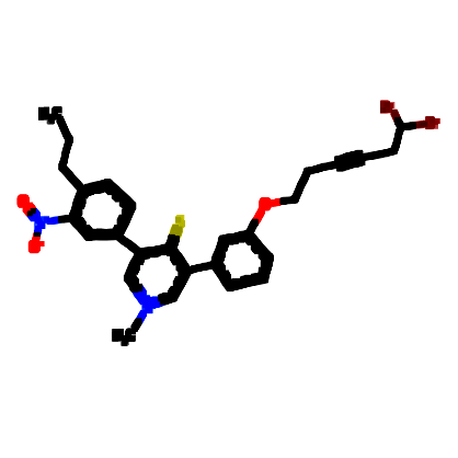 CCCc1ccc(-c2cn(C)cc(-c3cccc(OCCC#CCC(Br)Br)c3)c2=S)cc1[N+](=O)[O-]